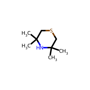 CC1(C)CSCC(C)(C)N1